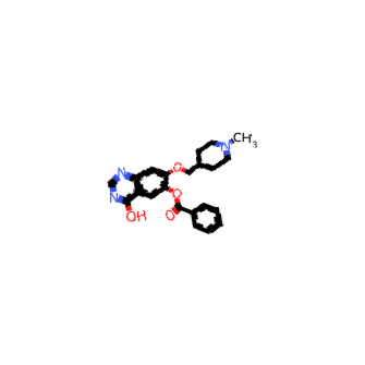 CN1CCC(COc2cc3ncnc(O)c3cc2OC(=O)c2ccccc2)CC1